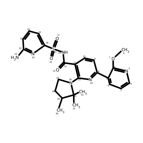 COc1ncccc1-c1ccc(C(=O)NS(=O)(=O)c2cccc(N)n2)c(N2CCC(C)C2(C)C)n1